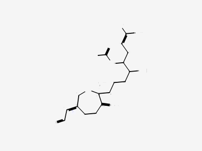 CC(=O)OC(CC=C(C)C)C(C)CCC[C@]1(C)OC/C(=C/C=O)CCC1=O